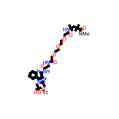 CCOCc1nc2c(NC(=O)CNC(=O)COCCOCCOCC(=O)NC(C)(C)CC(C)(C)C(=O)NC)nc3ccccc3c2n1CC(C)(C)O